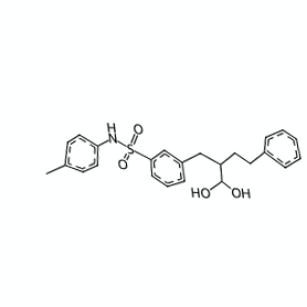 Cc1ccc(NS(=O)(=O)c2cccc(CC(CCc3ccccc3)C(O)O)c2)cc1